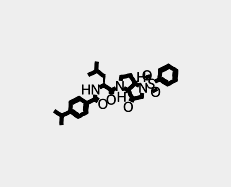 CC(C)C[C@H](NC(=O)c1ccc(C(C)C)cc1)C(=O)N1CC[C@@H]2[C@H]1C(=O)CN2S(=O)(=O)c1ccccc1